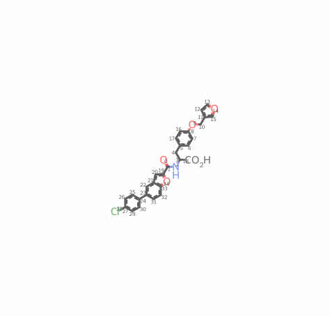 O=C(NC(Cc1ccc(OCc2ccoc2)cc1)C(=O)O)c1cc2cc(-c3ccc(Cl)cc3)ccc2o1